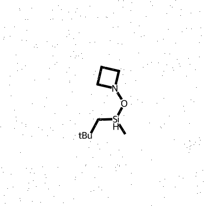 C[SiH](CC(C)(C)C)ON1CCC1